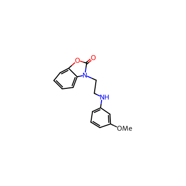 COc1cccc(NCCn2c(=O)oc3ccccc32)c1